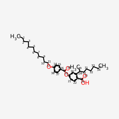 CCCCCCCCCCCCOc1ccc(C(=O)Oc2ccc(C(=O)O)c(C(C)CCCCCC)c2)cc1